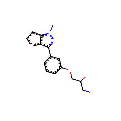 Cn1nc(-c2cccc(OCC(O)CN)c2)c2sccc21